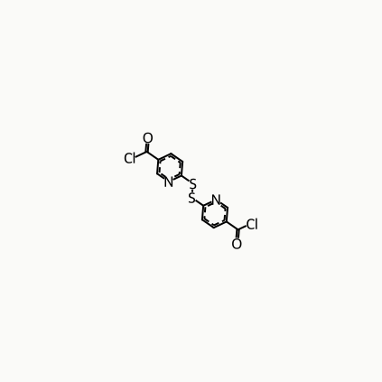 O=C(Cl)c1ccc(SSc2ccc(C(=O)Cl)cn2)nc1